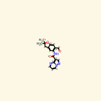 CC1(C)Cc2cc(NC(=O)c3cnn4cccnc34)c(C=O)cc2O1